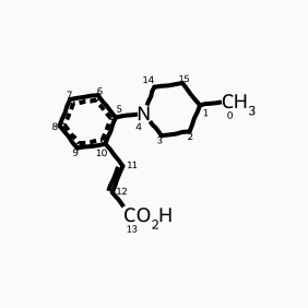 CC1CCN(c2ccccc2C=CC(=O)O)CC1